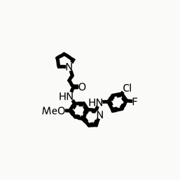 COc1cc2ccnc(Nc3ccc(F)c(Cl)c3)c2cc1NC(=O)CCN1CCCC1